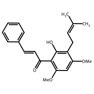 COc1cc(OC)c(C(=O)/C=C/c2ccccc2)c(O)c1CC=C(C)C